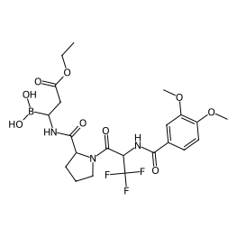 CCOC(=O)CC(NC(=O)C1CCCN1C(=O)C(NC(=O)c1ccc(OC)c(OC)c1)C(F)(F)F)B(O)O